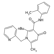 CCCCc1c(C(=O)Nc2ccccc2C)c(=O)cc(C)n1Cc1ccccn1